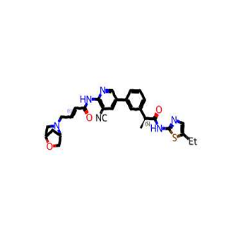 CCc1cnc(NC(=O)[C@@H](C)c2cccc(-c3cnc(NC(=O)/C=C/CN4CC5CC4CO5)c(C#N)c3)c2)s1